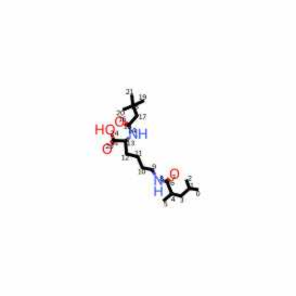 CC(C)CC(C)C(=O)NCCCCC(NC(=O)CC(C)(C)C)C(=O)O